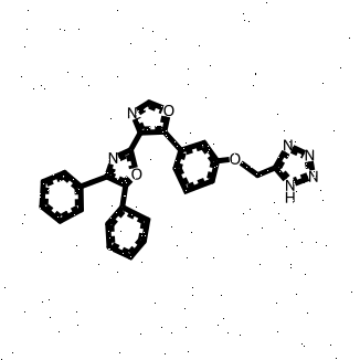 c1ccc(-c2nc(-c3ncoc3-c3cccc(OCc4nnn[nH]4)c3)oc2-c2ccccc2)cc1